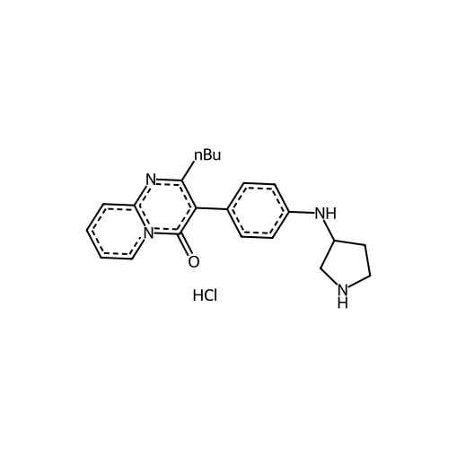 CCCCc1nc2ccccn2c(=O)c1-c1ccc(NC2CCNC2)cc1.Cl